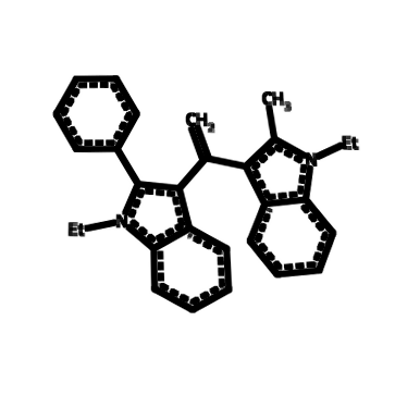 C=C(c1c(C)n(CC)c2ccccc12)c1c(-c2ccccc2)n(CC)c2ccccc12